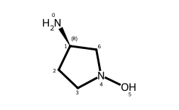 N[C@@H]1CCN(O)C1